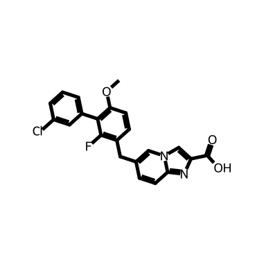 COc1ccc(Cc2ccc3nc(C(=O)O)cn3c2)c(F)c1-c1cccc(Cl)c1